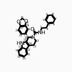 O=C(NCCc1ccccc1)N1CCc2c([nH]c3ccccc23)[C@@H]1c1ccc2c(c1)OCO2